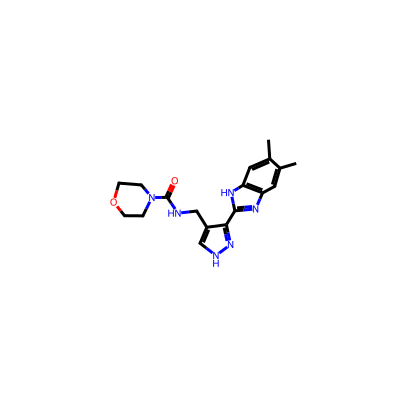 Cc1cc2nc(-c3n[nH]cc3CNC(=O)N3CCOCC3)[nH]c2cc1C